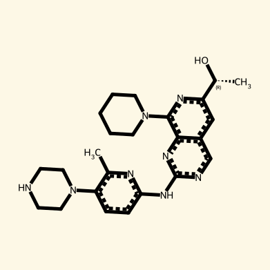 Cc1nc(Nc2ncc3cc([C@@H](C)O)nc(N4CCCCC4)c3n2)ccc1N1CCNCC1